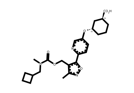 Cc1noc(-c2ccc(O[C@H]3CCC[C@H](C(=O)O)C3)cn2)c1COC(=O)N(C)CC1CCC1